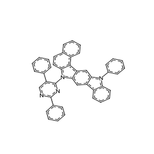 c1ccc(-c2ncc(-c3ccccc3)c(-n3c4cc5c6ccccc6n(-c6ccccc6)c5cc4c4c5ccccc5ccc43)n2)cc1